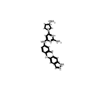 Nc1nc(Nc2ccc(Oc3ccc4[nH]ncc4c3)c(F)c2)cc(N2CC[C@@H](N)C2)n1